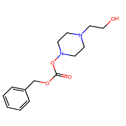 O=C(OCc1ccccc1)ON1CCN(CCO)CC1